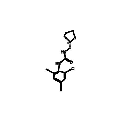 Cc1cc(C)c(NC(=O)NC[C@@H]2CCCS2)c(Cl)c1